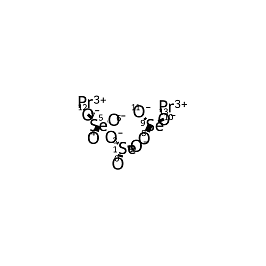 O=[Se]([O-])[O-].O=[Se]([O-])[O-].O=[Se]([O-])[O-].[Pr+3].[Pr+3]